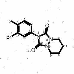 Cc1ccc(-n2c(=O)n3n(c2=O)CCCC3)cc1Br